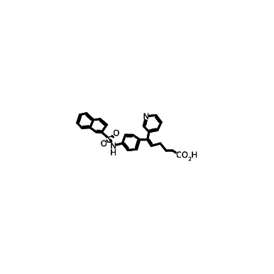 O=C(O)CCCC=C(c1ccc(NS(=O)(=O)c2ccc3ccccc3c2)cc1)c1cccnc1